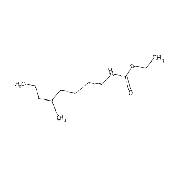 CCCC(C)CCCCNC(=O)OCC